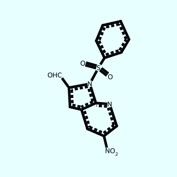 O=Cc1cc2cc([N+](=O)[O-])cnc2n1S(=O)(=O)c1ccccc1